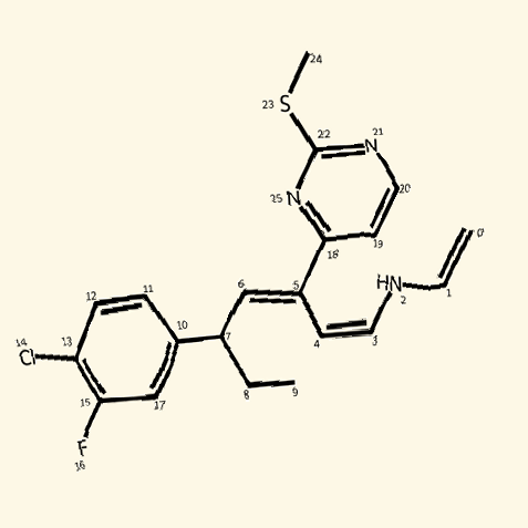 C=CN/C=C\C(=C/C(CC)c1ccc(Cl)c(F)c1)c1ccnc(SC)n1